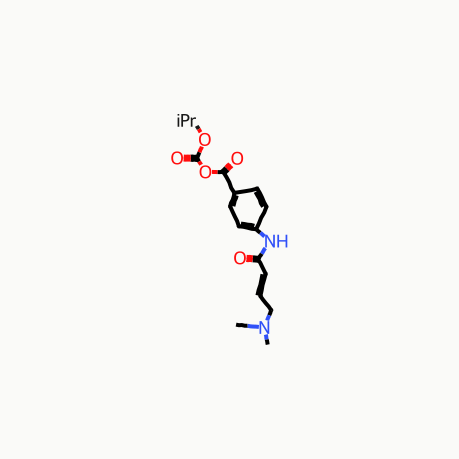 CC(C)OC(=O)OC(=O)c1ccc(NC(=O)C=CCN(C)C)cc1